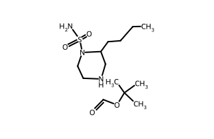 CC(C)(C)OC=O.CCCCC1CNCCN1S(N)(=O)=O